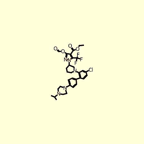 CCOC(=O)c1c(OC=O)nn(C2CCCN(c3cc(Cl)ccc3-c3ccc(N4CCN(C(C)C)CC4)cc3)C2)c1C(F)(F)F